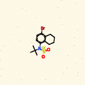 CC(C)(C)N(c1ccc(Br)c2c1CCCC2)[SH](=O)=O